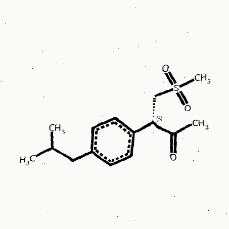 CC(=O)[C@@H](CS(C)(=O)=O)c1ccc(CC(C)C)cc1